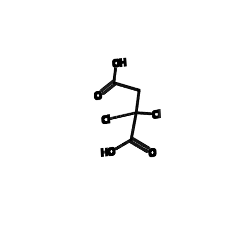 O=C(O)CC(Cl)(Cl)C(=O)O